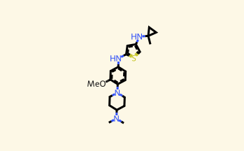 COc1cc(Nc2cc(NC3(C)CC3)cs2)ccc1N1CCC(N(C)C)CC1